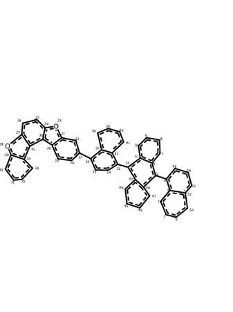 c1ccc2c(-c3c4ccccc4c(-c4ccc(-c5ccc6c(c5)oc5ccc7oc8ccccc8c7c56)c5ccccc45)c4ccccc34)cccc2c1